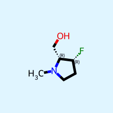 CN1CC[C@@H](F)[C@H]1CO